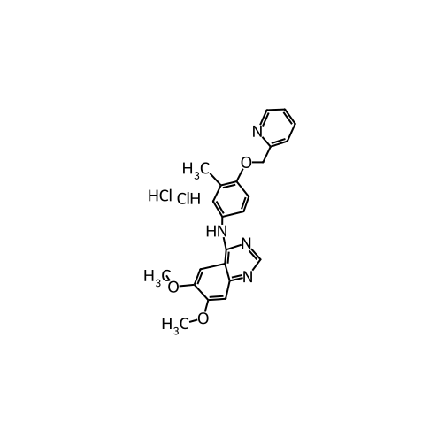 COc1cc2ncnc(Nc3ccc(OCc4ccccn4)c(C)c3)c2cc1OC.Cl.Cl